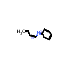 C=C/C=C\N=C1\C=CC=CC1